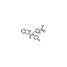 CCN(c1ccc(CN(C(=O)C2Cc3ccccc3CN2C)c2ccc(F)cc2)cn1)C1CC1